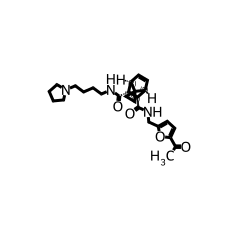 CC(=O)c1ccc(CNC(=O)[C@H]2[C@H](C(=O)NCCCCN3CCCC3)[C@H]3C=C[C@@H]2C32CC2)o1